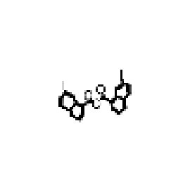 O=C(OC(=O)c1cccc2ccc(I)cc12)c1cccc2ccc(I)cc12